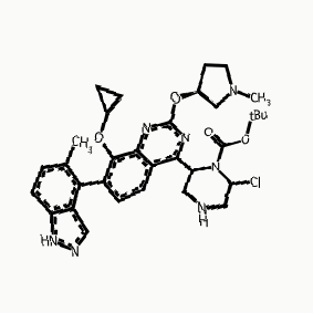 Cc1ccc2[nH]ncc2c1-c1ccc2c(C3CNCC(Cl)N3C(=O)OC(C)(C)C)nc(O[C@H]3CCN(C)C3)nc2c1OC1CC1